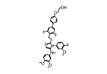 COc1cc(-n2c(N(C)c3ccc(OC)c(OC)c3)cnc2SCc2c(F)cc(-c3ccc(OCCO)cc3)cc2F)ccc1F